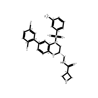 O=C(NC[C@H]1CN(S(=O)(=O)c2cccc(C(F)(F)F)c2)c2cc(-c3cc(F)ccc3F)ccc2O1)C1COC1